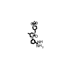 CC1CN(CC2CCN(S(C)(=O)=O)CC2)C(=O)N(c2cccc(C(=N)N)c2)C1